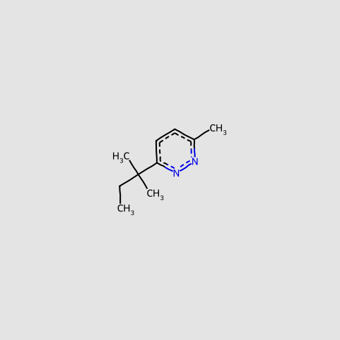 CCC(C)(C)c1ccc(C)nn1